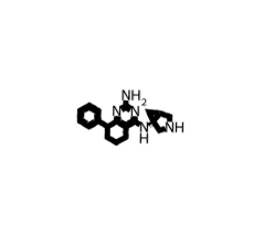 Nc1nc(N[C@]23CNCC2C3)c2c(n1)C(c1ccccc1)CCC2